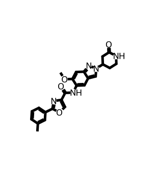 COc1cc2nn(C3CCNC(=O)C3)cc2cc1NC(=O)c1coc(-c2cccc(C)c2)n1